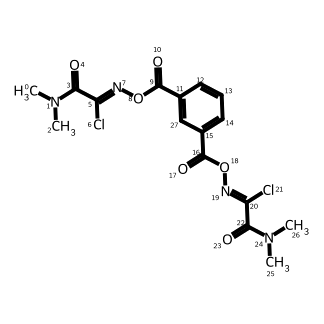 CN(C)C(=O)C(Cl)=NOC(=O)c1cccc(C(=O)ON=C(Cl)C(=O)N(C)C)c1